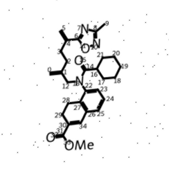 C=C(CCC(=C)c1nc(C)no1)CN(C(=O)C1CCCCC1)c1cccc2c1CCC(C(=O)OC)=C2